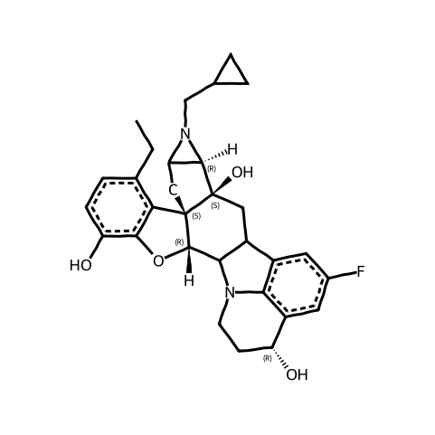 CCc1ccc(O)c2c1[C@]13CC4[C@@H](N4CC4CC4)[C@]1(O)CC1c4cc(F)cc5c4N(CC[C@H]5O)C1[C@@H]3O2